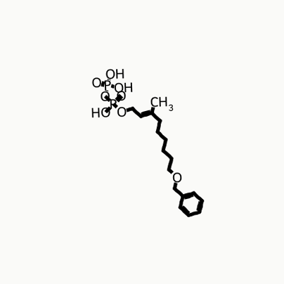 CC(=CCOP(=O)(O)OP(=O)(O)O)CCCCCCOCc1ccccc1